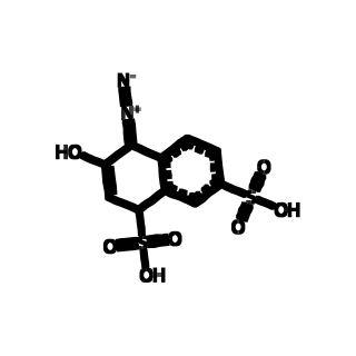 [N-]=[N+]=C1C(O)=CC(S(=O)(=O)O)c2cc(S(=O)(=O)O)ccc21